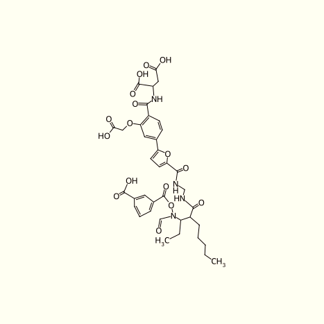 CCCCCC(C(=O)NCNC(=O)c1ccc(-c2ccc(C(=O)NC(CC(=O)O)C(=O)O)c(OCC(=O)O)c2)o1)C(CC)N(C=O)OC(=O)c1cccc(C(=O)O)c1